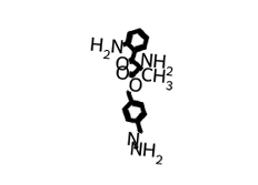 CC(N)(C(=O)OCc1ccc(C=NN)cc1)C(=O)c1ccccc1N